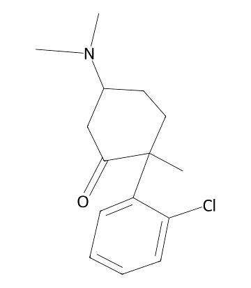 CN(C)C1CCC(C)(c2ccccc2Cl)C(=O)C1